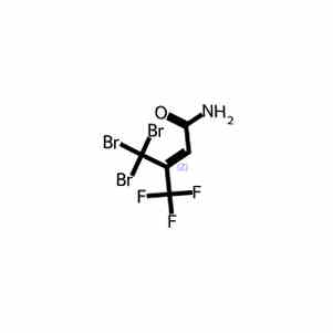 NC(=O)/C=C(/C(F)(F)F)C(Br)(Br)Br